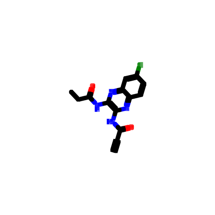 C#CC(=O)Nc1nc2ccc(Cl)cc2nc1NC(=O)CC